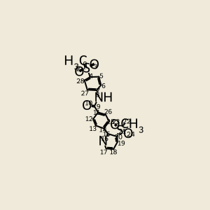 CS(=O)(=O)c1ccc(NC(=O)c2ccc(-c3ncccc3S(C)(=O)=O)cc2)cc1